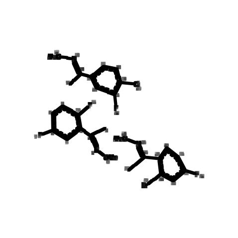 CO/N=C(\C)c1cc(F)ccc1F.CO/N=C(\C)c1ccc(Cl)c(F)c1.CO/N=C(\C)c1ccc(F)cc1Br